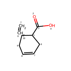 C=C.O=C(O)C1CC=CCC1